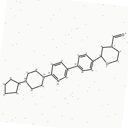 O=CN1CCOC(c2ccc(-c3ccc(N4CCN(C5CCCC5)CC4)nc3)cc2)C1